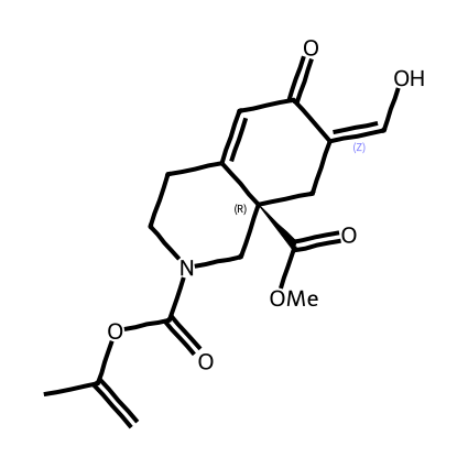 C=C(C)OC(=O)N1CCC2=CC(=O)/C(=C\O)C[C@]2(C(=O)OC)C1